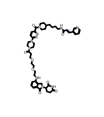 O=C(/C=C/c1cccnc1)NCCCCC1CCN(C(=O)c2ccc(N3CCN(C(=O)CCOCCOCCNc4cccc5c4CN(C4CCC(=O)NC4=O)C5=O)CC3)nn2)CC1